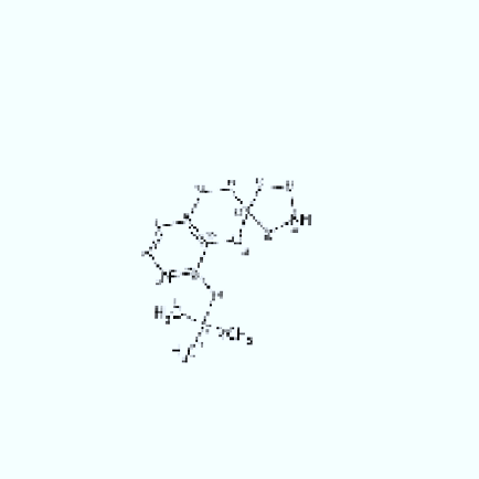 CC(C)(C)Cc1nccc2c1OC1(CCNC1)CC2